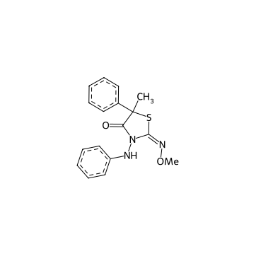 CON=C1SC(C)(c2ccccc2)C(=O)N1Nc1ccccc1